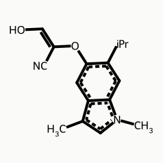 Cc1cn(C)c2cc(C(C)C)c(O/C(C#N)=C/O)cc12